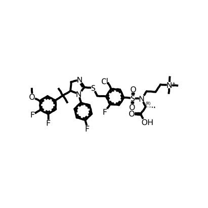 COc1cc(C(C)(C)C2CN=C(SCc3c(F)cc(S(=O)(=O)N(CCC[N+](C)(C)C)[C@H](C)C(=O)O)cc3Cl)N2c2ccc(F)cc2)cc(F)c1F